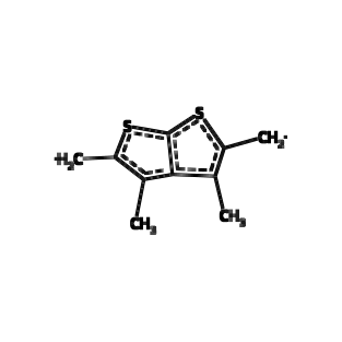 [CH2]c1sc2sc([CH2])c(C)c2c1C